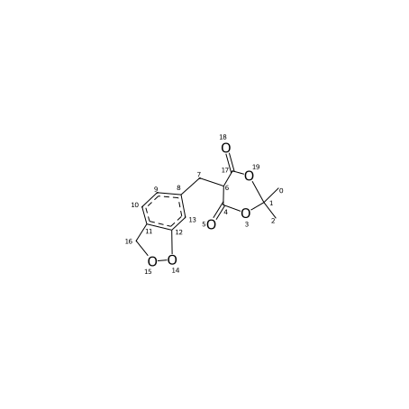 CC1(C)OC(=O)C(Cc2ccc3c(c2)OOC3)C(=O)O1